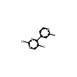 Fc1cc(-c2nc(Cl)ncc2Cl)ccn1